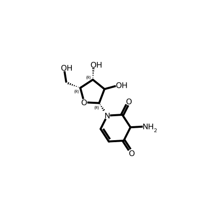 NC1C(=O)C=CN([C@@H]2O[C@H](CO)[C@H](O)C2O)C1=O